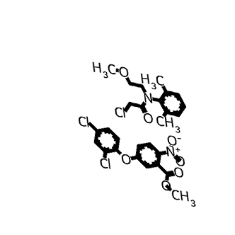 COC(=O)c1cc(Oc2ccc(Cl)cc2Cl)ccc1[N+](=O)[O-].COCCN(C(=O)CCl)c1c(C)cccc1C